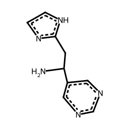 NC(Cc1ncc[nH]1)c1cncnc1